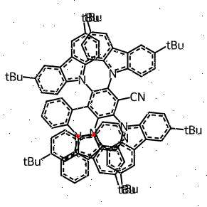 CC(C)(C)c1ccc2c(c1)c1cc(C(C)(C)C)ccc1n2-c1c(C#N)c(-n2c3ccc(C(C)(C)C)cc3c3cc(C(C)(C)C)ccc32)c(-n2c3ccc(C(C)(C)C)cc3c3cc(C(C)(C)C)ccc32)c(-c2ccccc2-n2c3ccccc3c3cnccc32)c1-n1c2ccc(C(C)(C)C)cc2c2cc(C(C)(C)C)ccc21